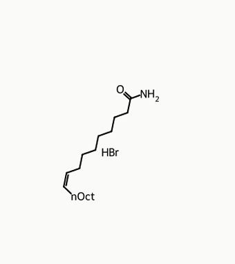 Br.CCCCCCCC/C=C\CCCCCCCC(N)=O